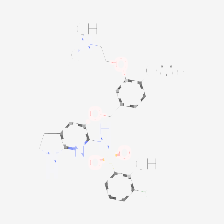 COc1ccc(COc2cc3c(nc2NS(=O)(=O)c2cccc(Cl)c2C)NCC3)cc1OCCN(C)C